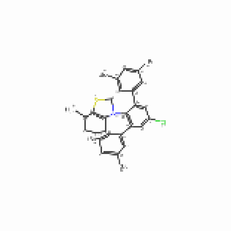 CC1CCCC2=C1S[C]N2c1c(-c2cc(C(C)(C)C)cc(C(C)(C)C)c2)cc(Cl)cc1-c1cc(C(C)(C)C)cc(C(C)(C)C)c1